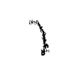 COCCOCCOCCOCCOCCOCCSc1ccnc(CSc2nc3ccccc3[nH]2)c1C